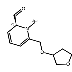 [2H]N1C(COC2CCOC2)=CC=C[C@H]1C=O